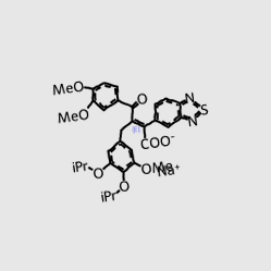 COc1ccc(C(=O)/C(Cc2cc(OC)c(OC(C)C)c(OC(C)C)c2)=C(/C(=O)[O-])c2ccc3nsnc3c2)cc1OC.[Na+]